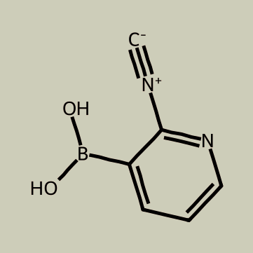 [C-]#[N+]c1ncccc1B(O)O